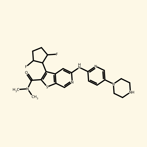 CN(C)C(=O)c1sc2cnc(Nc3ccc(N4CCNCC4)cn3)cc2c1C1C(F)CCC1F